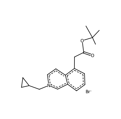 CC(C)(C)OC(=O)Cc1cccc2c[n+](CC3CC3)ccc12.[Br-]